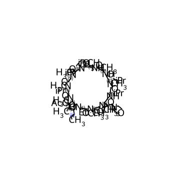 C/C=C/C[C@@H](C)[C@@H](OC(C)=O)[C@H]1C(=O)N[C@@H](CC)C(=O)N(C)[C@H](C)C(=O)N(C)[C@@H]([C@H](C)CN2CCOCC2)C(=O)N[C@@H](C(C)C)C(=O)N(C)[C@@H](CC(C)C)C(=O)N[C@@H](C)C(=O)N[C@H](C)C(=O)N(C)[C@@H](CC(C)C)C(=O)N(C)[C@@H](CC(C)C)C(=O)N(C)[C@@H](C(C)C)C(=O)N1C